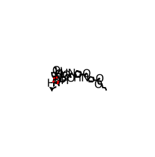 CCCCOC(=O)c1ccc(NC(=O)c2ccc(NC(=O)Oc3ccc4c5c3O[C@H]3[C@]6(OC)CC(=C7[C@@H](C4)N(CC4CC4)CC[C@]753)[C@@H]6C(C)O)cc2)cc1